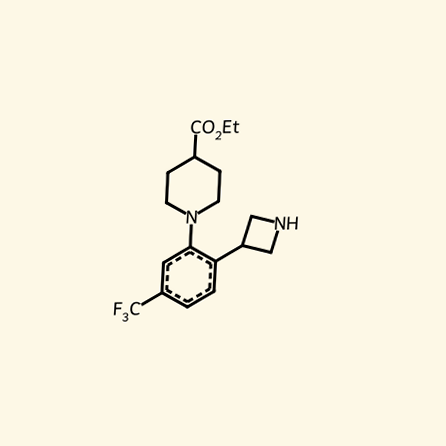 CCOC(=O)C1CCN(c2cc(C(F)(F)F)ccc2C2CNC2)CC1